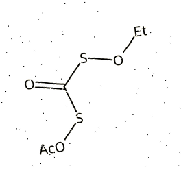 CCOSC(=O)SOC(C)=O